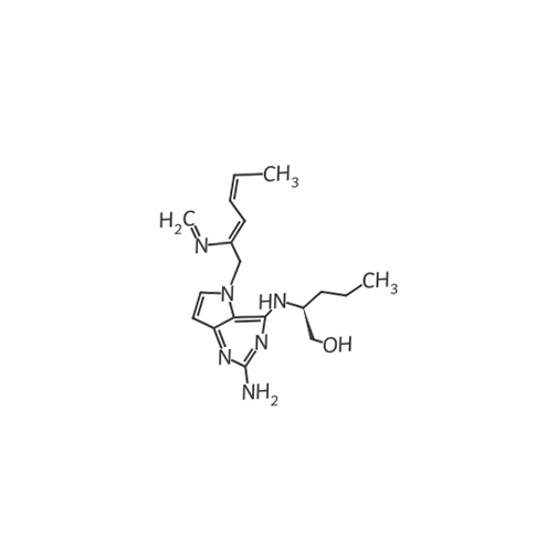 C=N/C(=C\C=C/C)Cn1ccc2nc(N)nc(N[C@H](CO)CCC)c21